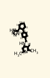 Cc1cc(NCc2ccc(-c3ccccc3-c3nnn[nH]3)cc2)c(I)c(C)n1